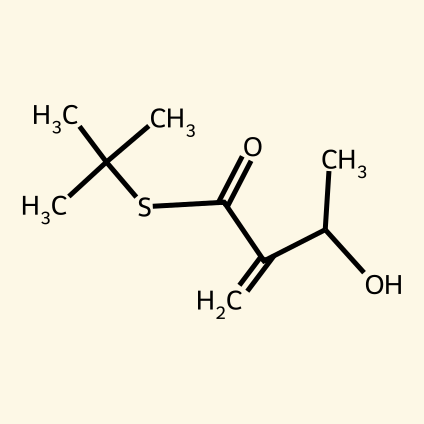 C=C(C(=O)SC(C)(C)C)C(C)O